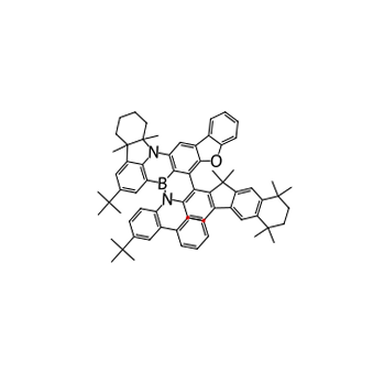 CC(C)(C)c1ccc(N2B3c4cc(C(C)(C)C)cc5c4N(c4cc6c(oc7ccccc76)c(c43)-c3c2ccc2c3C(C)(C)c3cc4c(cc3-2)C(C)(C)CCC4(C)C)C2(C)CCCCC52C)c(-c2ccccc2)c1